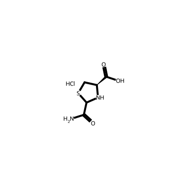 Cl.NC(=O)C1N[C@H](C(=O)O)CS1